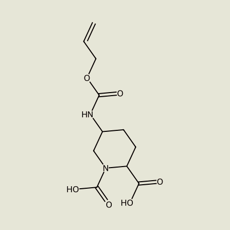 C=CCOC(=O)NC1CCC(C(=O)O)N(C(=O)O)C1